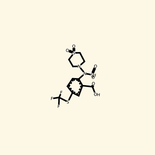 O=C(O)c1cc(SC(F)(F)F)ccc1N(N1CCS(=O)(=O)CC1)[SH](=O)=O